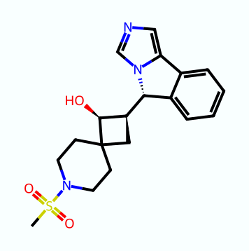 CS(=O)(=O)N1CCC2(CC1)C[C@H]([C@H]1c3ccccc3-c3cncn31)[C@@H]2O